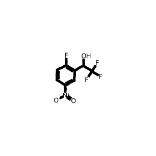 O=[N+]([O-])c1ccc(F)c(C(O)C(F)(F)F)c1